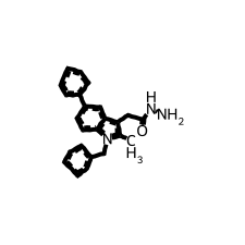 Cc1c(CC(=O)NN)c2cc(-c3ccccc3)ccc2n1Cc1ccccc1